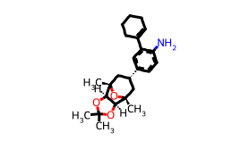 CC1(C)O[C@@H]2[C@H](O1)[C@@]1(C)C[C@@H](c3ccc(N)c(C4=CCCCC4)c3)C[C@]2(C)O1